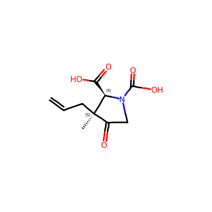 C=CC[C@]1(C)C(=O)CN(C(=O)O)[C@@H]1C(=O)O